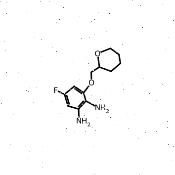 Nc1cc(F)cc(OCC2CCCCO2)c1N